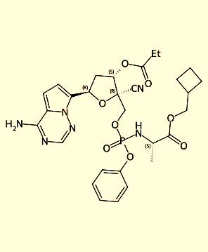 CCC(=O)O[C@H]1C[C@H](c2ccc3c(N)ncnn23)O[C@]1(C#N)COP(=O)(N[C@@H](C)C(=O)OCC1CCC1)Oc1ccccc1